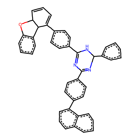 C1=CC2Oc3ccccc3C2C(c2ccc(C3=NC(c4ccc(-c5cccc6ccccc56)cc4)=NC(c4ccccc4)N3)cc2)=C1